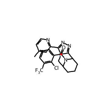 Cc1ccnc(-c2nnc3n2CC2CCCC3N2C(=O)c2cccc(C(F)(F)F)c2Cl)c1